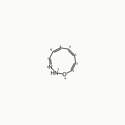 C1=CC=CONN=CC=C1